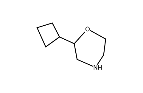 C1CC(C2CNCCO2)C1